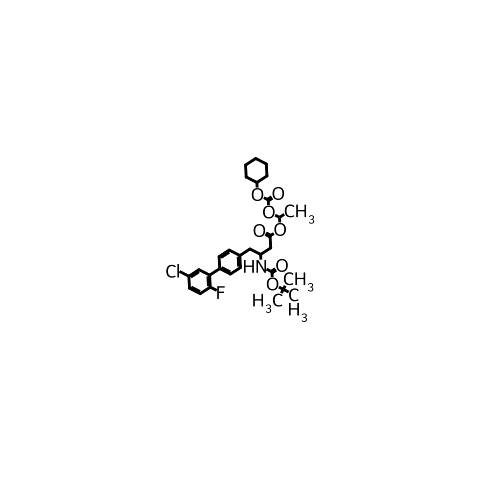 CC(OC(=O)CC(Cc1ccc(-c2cc(Cl)ccc2F)cc1)NC(=O)OC(C)(C)C)OC(=O)OC1CCCCC1